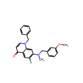 COc1cccc(CN(C)c2cc3c(cc2F)c(=O)ccn3Cc2ccccc2)c1